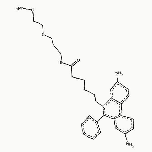 CCCOCCOCCCNC(=O)CCCCC[n+]1c(-c2ccccc2)c2cc(N)ccc2c2ccc(N)cc21